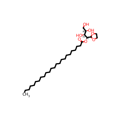 CCCCCCCCCCCCCCCCCCCCCCCC(=O)O[C@@H](C1OCCO1)[C@@H](O)[C@H](O)CO